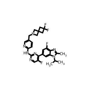 Cc1nc2c(F)cc(-c3nc(Nc4ccc(CN5CC6(C5)CC(F)(F)C6)cn4)ncc3F)cc2n1C(C)C